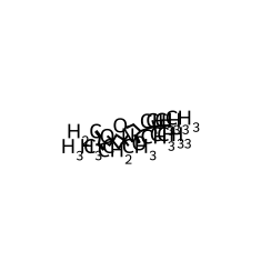 C=C(C)C(=C)OC1(C)CC(C)(N2C(=O)CC(C(C)(C)C(C)(C)C(C)(C)CC)C2=O)C1